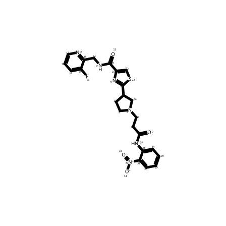 O=C(CCN1CCC(c2nc(C(=O)NCc3ncccc3F)cs2)C1)Nc1ccccc1[N+](=O)[O-]